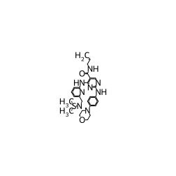 C=CCNC(=O)c1cnc(Nc2ccc(N3CCOCC3)cc2)nc1Nc1cccc(CN=S(C)C)n1